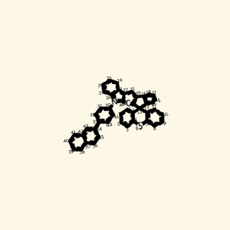 c1ccc2c(c1)Sc1ccccc1C21c2ccccc2-c2cc3c4ccccc4n(-c4ccc(-c5ccc6ccccc6c5)cc4)c3cc21